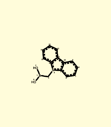 OB(O)Cn1c2ccccc2c2ccccc21